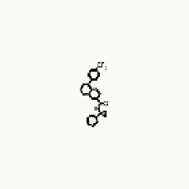 O=C(NC1(c2ccccc2)CC1)c1ccc2c(-c3ccc(C(F)(F)F)cc3)cccc2c1